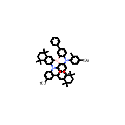 Cc1cc(C(C)(C)C)ccc1N1c2ccc(-c3ccccc3)cc2B2c3cc4c(cc3N(c3ccc(C(C)(C)C)cc3-c3ccc5c(c3)C(C)(C)CCC5(C)C)c3cc(C(C)(C)C)cc1c32)C(C)(C)CCC4(C)C